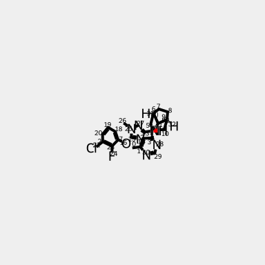 Cc1cc(N2C[C@H]3CC[C@@H](C2)C3Nc2nc(Oc3cccc(Cl)c3F)n(C)n2)ncn1